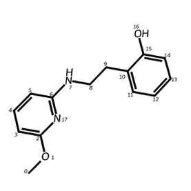 COc1cccc(NCCc2ccccc2O)n1